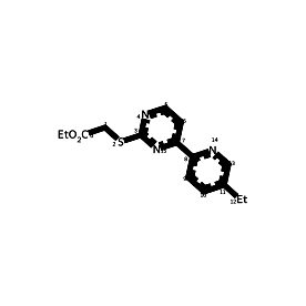 CCOC(=O)CSc1nccc(-c2ccc(CC)cn2)n1